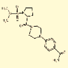 CN(C)S(=O)(=O)N1CCCC1C(=O)N1CCN(c2ccc(C(N)=O)cc2)CC1